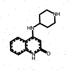 O=c1cc(NC2CCNCC2)c2ccccc2[nH]1